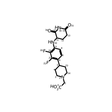 O=C(O)CN1CCC(c2ccc(NC3CCC(=O)NC3=O)c(F)c2F)CC1